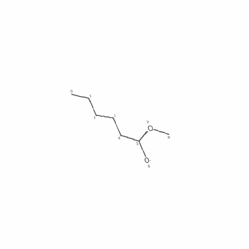 CCCCCC([O])OC